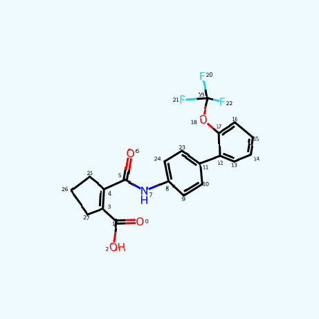 O=C(O)C1=C(C(=O)Nc2ccc(-c3ccccc3OC(F)(F)F)cc2)CCC1